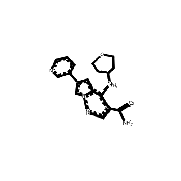 NC(=O)c1cnn2cc(-c3cccnc3)cc2c1NC1CCOCC1